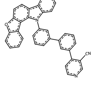 N#Cc1cnccc1-c1cccc(-c2cccc(-n3c4ccccc4c4ccc5oc6ccccc6c5c43)c2)c1